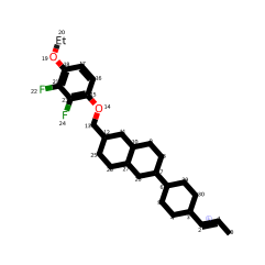 C/C=C/C1CCC(C2CCC3CC(COc4ccc(OCC)c(F)c4F)CCC3C2)CC1